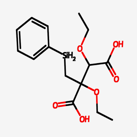 CCOC(C(=O)O)C(C[SiH2]c1ccccc1)(OCC)C(=O)O